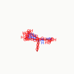 CCCOCCOCCOCCOCCC(=O)NC(COCCC(=O)NCCOCCOCCOC1OC(CO)CC(O)C1NC(C)=O)(COCCC(=O)NCCOCCOCCOC1OC(CO)C(O)C(O)C1NC(C)=O)COCCC(=O)NCCOCCOCCOC1OC(CO)C(O)C(O)C1NC(C)=O